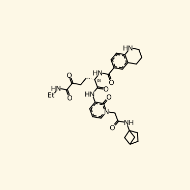 CCNC(=O)C(=O)CC[C@H](NC(=O)c1ccc2c(c1)CCCN2)C(=O)Nc1cccn(CC(=O)NC23CCC(C2)C3)c1=O